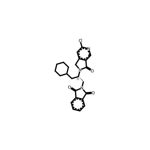 O=C1c2ccccc2C(=O)N1C[C@H](CC1CCCCC1)N1Cc2cc(Cl)ncc2C1=O